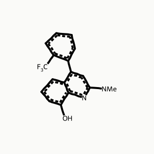 CNc1cc(-c2ccccc2C(F)(F)F)c2cccc(O)c2n1